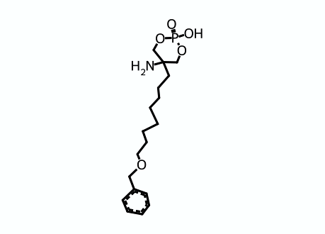 NC1(CCCCCCCCOCc2ccccc2)COP(=O)(O)OC1